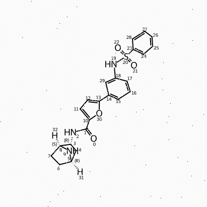 O=C(N[C@@H]1C[C@H]2CC[C@@H]1N2)c1ccc(-c2cccc(NS(=O)(=O)c3ccccc3)c2)o1